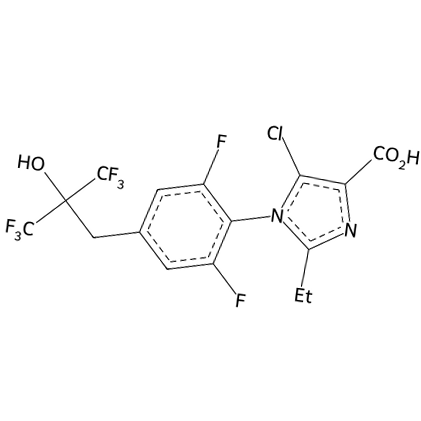 CCc1nc(C(=O)O)c(Cl)n1-c1c(F)cc(CC(O)(C(F)(F)F)C(F)(F)F)cc1F